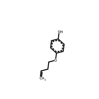 C=CCCOc1ccc(O)cc1